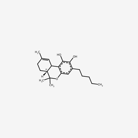 CCCCCc1cc2c(c(O)c1O)C1C=C(C)CC[C@H]1C(C)(C)O2